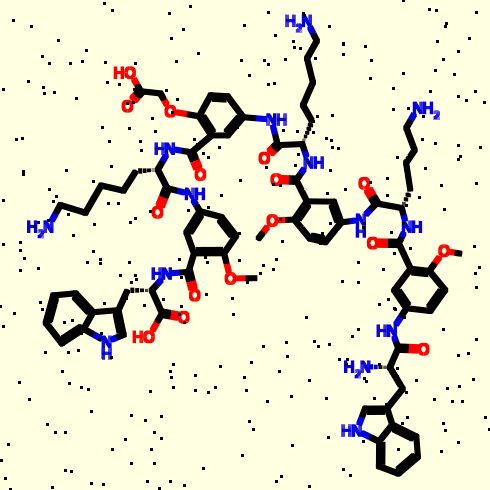 COc1ccc(NC(=O)[C@H](CCCCCN)NC(=O)c2cc(NC(=O)[C@H](CCCCCN)NC(=O)c3cc(NC(=O)[C@H](CCCCN)NC(=O)c4cc(NC(=O)[C@@H](N)Cc5c[nH]c6ccccc56)ccc4OC)ccc3OC)ccc2OCC(=O)O)cc1C(=O)N[C@@H](Cc1c[nH]c2ccccc12)C(=O)O